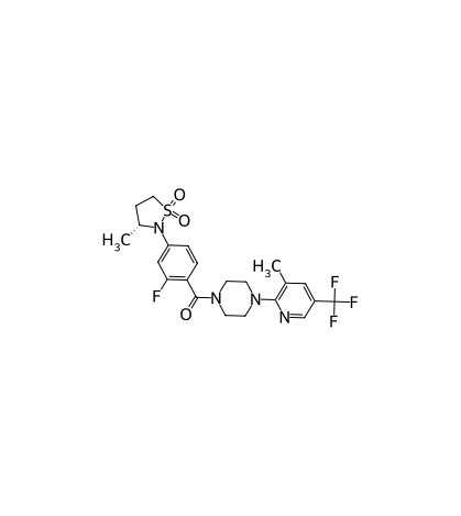 Cc1cc(C(F)(F)F)cnc1N1CCN(C(=O)c2ccc(N3[C@H](C)CCS3(=O)=O)cc2F)CC1